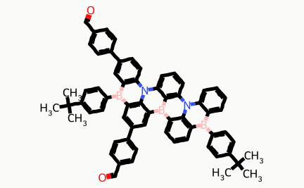 CC(C)(C)c1ccc(B2c3ccccc3N3c4cccc5c4B(c4cccc2c43)c2cc(-c3ccc(C=O)cc3)cc3c2N5c2ccc(-c4ccc(C=O)cc4)cc2B3c2ccc(C(C)(C)C)cc2)cc1